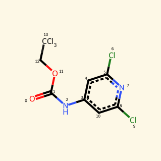 O=C(Nc1cc(Cl)nc(Cl)c1)OCC(Cl)(Cl)Cl